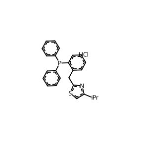 CC(C)c1csc(Cc2ccccc2P(c2ccccc2)c2ccccc2)n1.Cl